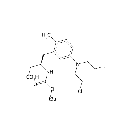 Cc1ccc(N(CCCl)CCCl)cc1C[C@H](CC(=O)O)NC(=O)OC(C)(C)C